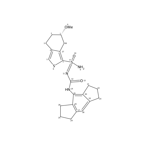 CO[C@H]1CCc2csc(S(N)(=O)=NC(=O)Nc3c4c(cc5c3CCC5)CCC4)c2C1